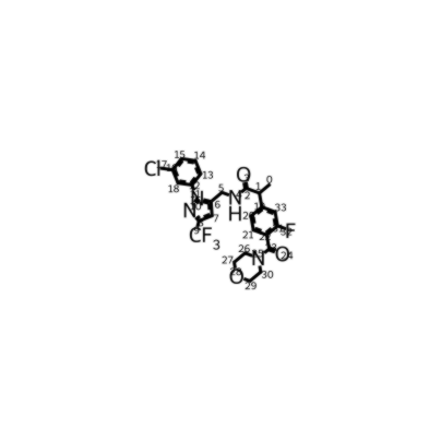 CC(C(=O)NCc1cc(C(F)(F)F)nn1-c1cccc(Cl)c1)c1ccc(C(=O)N2CCOCC2)c(F)c1